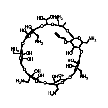 C=CCOC1C2OC(C)C(CN)OC(C(O)O)OC3C(CN)OC(OC4C(CN)OC(OC5C(CN)OC(OC6C(CN)OC(OC7C(CN)OC(OC(C(CN)O2)C1O)C(O)C7O)C(O)C6O)C(O)C5O)C(O)C4O)C(O)C3O